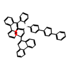 c1ccc(-c2ccc(-c3ccc(N(c4cccc(-c5cc6ccccc6c6ccccc56)c4)c4ccccc4-c4cc5ccccc5c5ccccc45)cc3)cc2)cc1